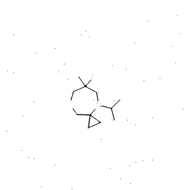 CC(C)N1CC(C)(F)COCC12CC2